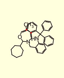 CC1=COC(C2CCCCCC2)N(Cc2ccccc2NC(c2ccccc2)(c2ccccc2)c2ccccc2)C=C1